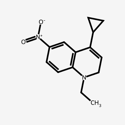 CCN1CC=C(C2CC2)c2cc([N+](=O)[O-])ccc21